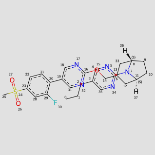 CCCc1cnc(N2[C@H]3CC[C@H]2CC(COc2ncc(-c4ccc(S(C)(=O)=O)cc4F)cn2)C3)nc1